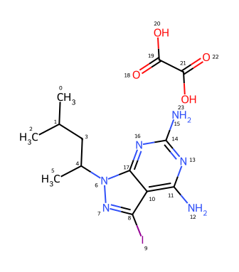 CC(C)CC(C)n1nc(I)c2c(N)nc(N)nc21.O=C(O)C(=O)O